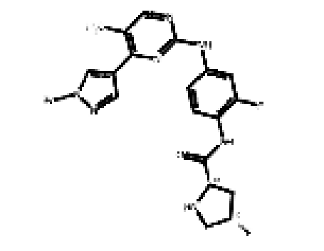 Cc1cnc(Nc2ccc(NC(=O)[C@H]3C[C@H](F)CN3)c(F)c2)nc1-c1cnn(C(C)C)c1